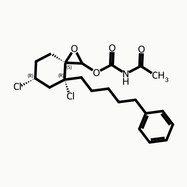 CC(=O)NC(=O)OC1O[C@@]12CC[C@@H](Cl)C[C@]2(Cl)CCCCCc1ccccc1